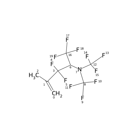 C=C(C)C(F)(F)C(N(C(F)(F)F)C(F)(F)F)C(F)(F)F